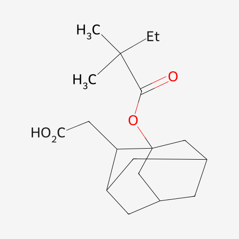 CCC(C)(C)C(=O)OC12CC3CC(CC(C3)C1CC(=O)O)C2